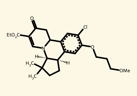 CCOC(=O)C1=CN2C(CC1=O)c1cc(Cl)c(OCCCOC)cc1[C@H]1CCC(C)(C)[C@H]12